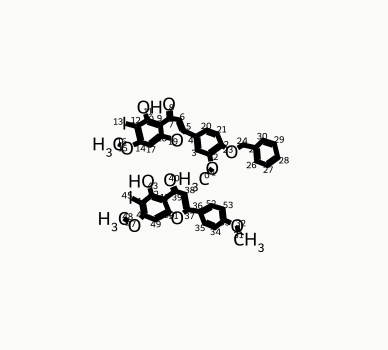 COc1cc(-c2cc(=O)c3c(O)c(I)c(OC)cc3o2)ccc1OCc1ccccc1.COc1ccc(-c2cc(=O)c3c(O)c(I)c(OC)cc3o2)cc1